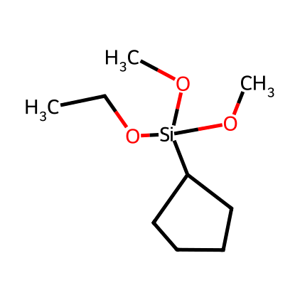 CCO[Si](OC)(OC)C1CCCC1